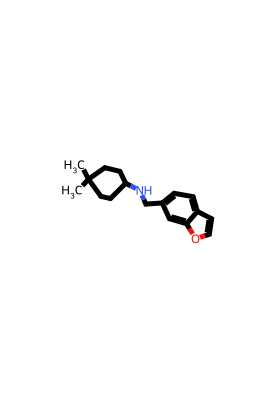 CC1(C)CCC(NCc2ccc3ccoc3c2)CC1